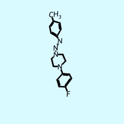 Cc1ccc(N=NN2CCN(c3ccc(F)cc3)CC2)cc1